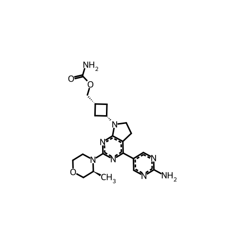 C[C@H]1COCCN1c1nc(-c2cnc(N)nc2)c2c(n1)N([C@H]1C[C@@H](COC(N)=O)C1)CC2